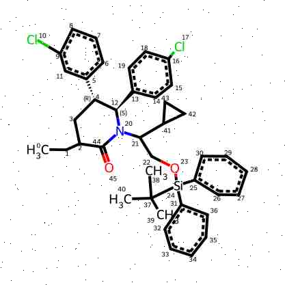 CCC1C[C@H](c2cccc(Cl)c2)[C@@H](c2ccc(Cl)cc2)N(C(CO[Si](c2ccccc2)(c2ccccc2)C(C)(C)C)C2CC2)C1=O